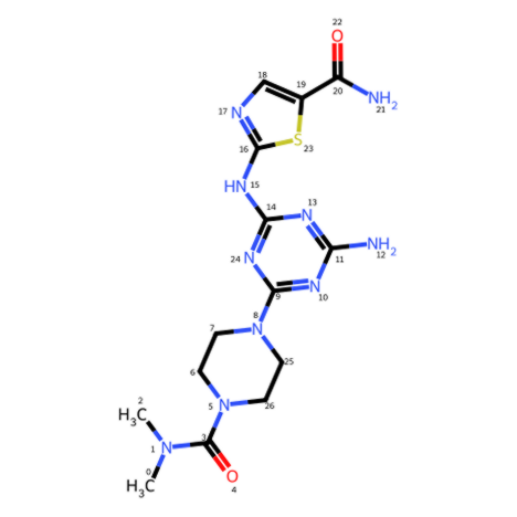 CN(C)C(=O)N1CCN(c2nc(N)nc(Nc3ncc(C(N)=O)s3)n2)CC1